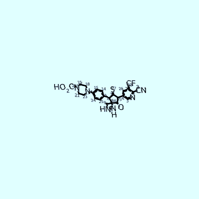 N#Cc1ncc(C2C(=O)C3(CNN3)C(c3ccc(N4CCN(C(=O)O)CC4)cc3)C2=S)cc1C(F)(F)F